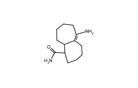 NC(=O)C1CCCCC2=C(N)CCCCC21